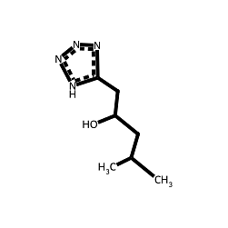 CC(C)CC(O)Cc1nnn[nH]1